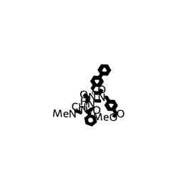 CN[C@@H](C)CN[C@H](C(=O)N1CC(=O)N2C1CN(Cc1ccc(C(=O)OC)cc1)C(=O)[C@@H]2Cc1ccc(-c2ccccc2)cc1)C1CCCCC1